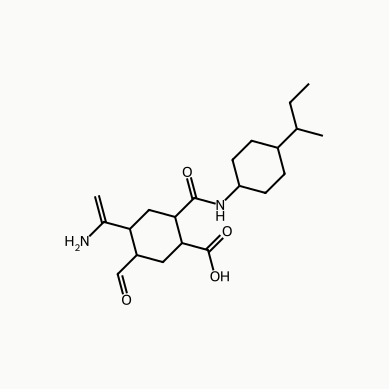 C=C(N)C1CC(C(=O)NC2CCC(C(C)CC)CC2)C(C(=O)O)CC1C=O